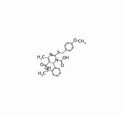 COc1ccc(CSC2=NC(C)=C(C(=O)O)C(c3ccccc3SC)N2C(=O)O)cc1